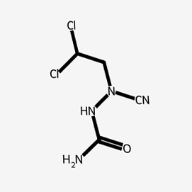 N#CN(CC(Cl)Cl)NC(N)=O